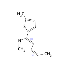 C=N/C(=C\C=C/C)c1ccc(C)s1